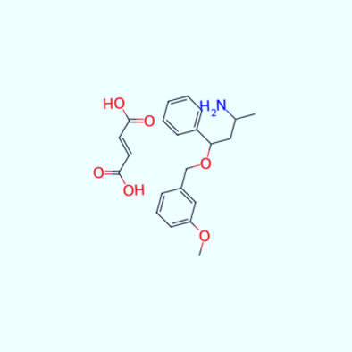 COc1cccc(COC(CC(C)N)c2ccccc2)c1.O=C(O)C=CC(=O)O